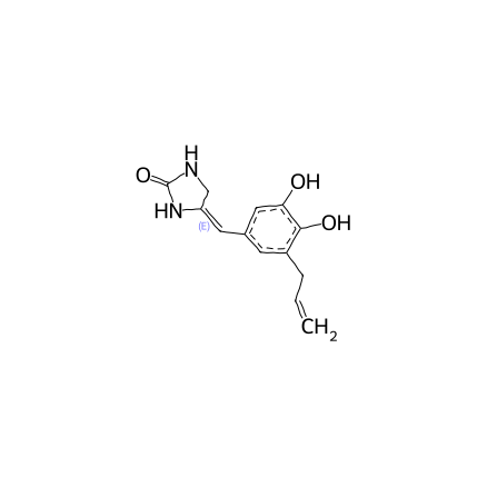 C=CCc1cc(/C=C2\CNC(=O)N2)cc(O)c1O